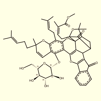 COC(=O)/C(C)=C\CC12OC(C)(C)C3CC(C1=O)C1C4=C(OC5=C1C32Oc1c(CC=C(C)C)c2c(c(O[C@H]3O[C@@H](CO)[C@H](O)[C@@H](O)[C@@H]3O)c15)C=CC(C)(CCC=C(C)C)O2)c1ccccc1C4=O